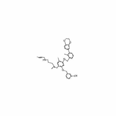 CC#CCNCCCN(C)Cc1cc(C)c(OCc2cccc(-c3ccc4c(c3)OCCO4)c2C)cc1OCc1cccc(C#N)c1